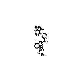 Cc1c[nH]c2ncnc(N3C=C(C(=O)N4C[C@H]5CCCN(C(=O)OC(C)(C)C)[C@H]5C4)SCC3)c12